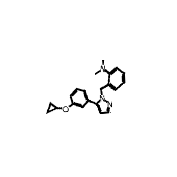 CN(C)c1ccccc1Cn1n[c]cc1-c1cccc(OC2CC2)c1